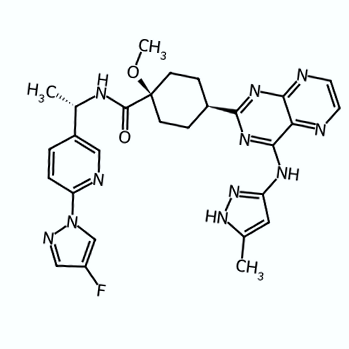 CO[C@]1(C(=O)N[C@@H](C)c2ccc(-n3cc(F)cn3)nc2)CC[C@H](c2nc(Nc3cc(C)[nH]n3)c3nccnc3n2)CC1